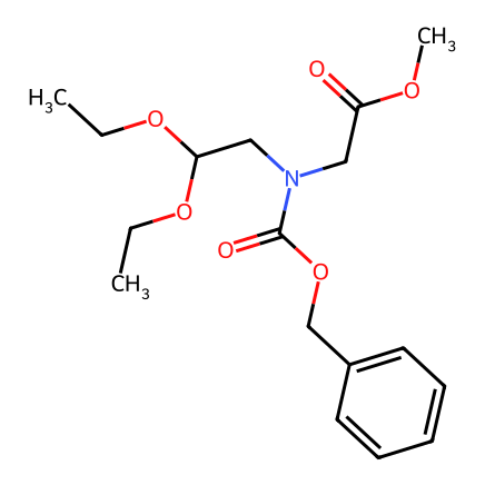 CCOC(CN(CC(=O)OC)C(=O)OCc1ccccc1)OCC